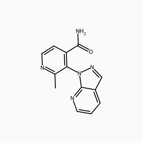 Cc1nccc(C(N)=O)c1-n1ncc2cccnc21